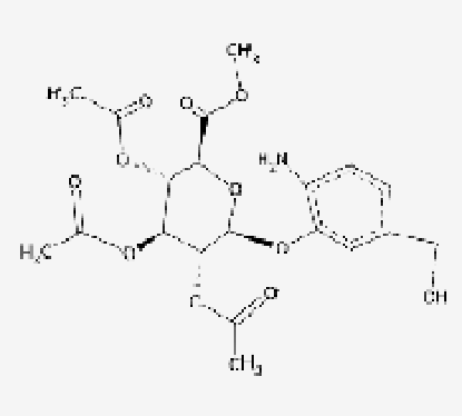 COC(=O)[C@H]1O[C@@H](Oc2cc(CO)ccc2N)[C@H](OC(C)=O)[C@@H](OC(C)=O)[C@@H]1OC(C)=O